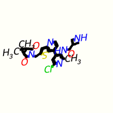 Cc1nc(Cl)cc(-c2ccnc3cc(CN4C(=O)C5C(C4=O)C5(C)C)sc23)c1NC(=O)C1CNC1